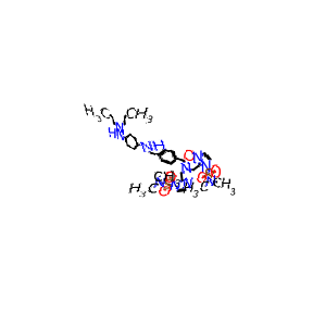 CCCN(CCC)N[C@H]1CC[C@H](NCc2ccc(C(=O)N(Cc3nccn3S(=O)(=O)N(C)C)Cc3nccn3S(=O)(=O)N(C)C)cc2)CC1